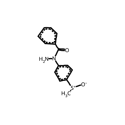 C[S+]([O-])c1ccc(N(N)C(=O)c2ccccc2)cc1